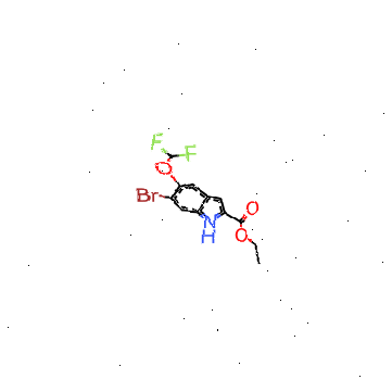 CCOC(=O)c1cc2cc(OC(F)F)c(Br)cc2[nH]1